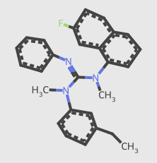 CCc1cccc(N(C)C(=Nc2ccccc2)N(C)c2cccc3ccc(F)cc23)c1